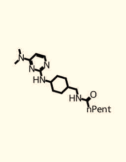 CCCCCC(=O)NCC1CCC(Nc2nccc(N(C)C)n2)CC1